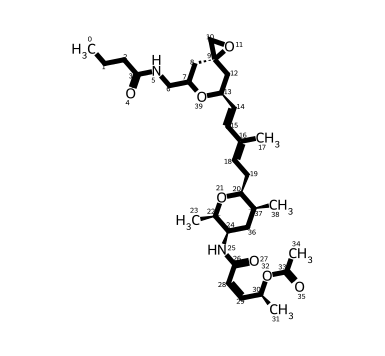 CCCC(=O)NCC1C[C@@]2(CO2)C[C@@H](/C=C/C(C)=C/C[C@@H]2O[C@H](C)[C@H](NC(=O)/C=C\[C@H](C)OC(C)=O)C[C@@H]2C)O1